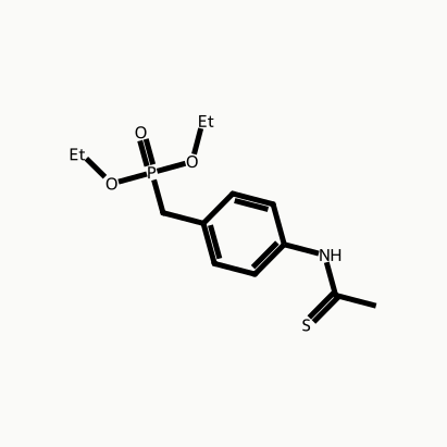 CCOP(=O)(Cc1ccc(NC(C)=S)cc1)OCC